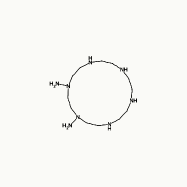 NN1CCNCCNCCNCCNCCN(N)CC1